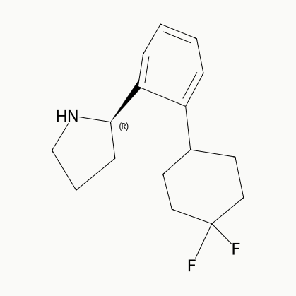 FC1(F)CCC(c2ccccc2[C@H]2CCCN2)CC1